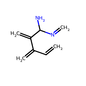 C=CC(=C)C(=C)C(N)N=C